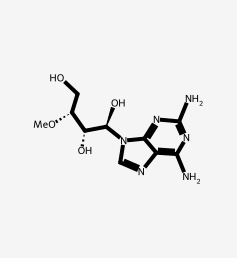 CO[C@H](CO)[C@@H](O)[C@@H](O)n1cnc2c(N)nc(N)nc21